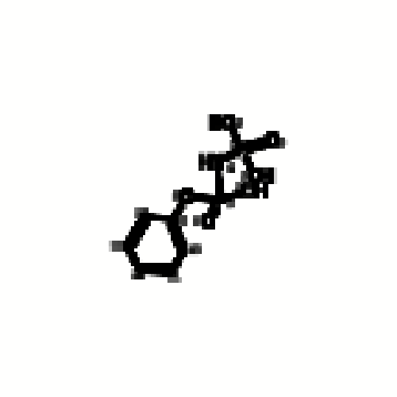 O=P(O)(O)NP(=O)(O)Oc1ccccc1